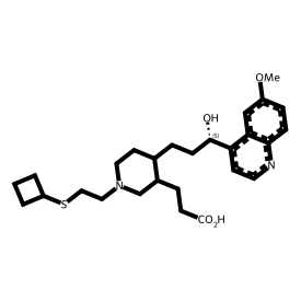 COc1ccc2nccc([C@@H](O)CCC3CCN(CCSC4CCC4)CC3CCC(=O)O)c2c1